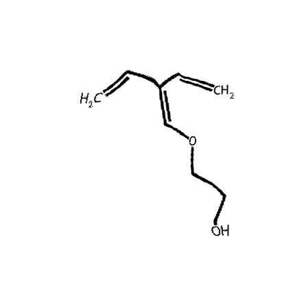 C=CC(C=C)=COCCO